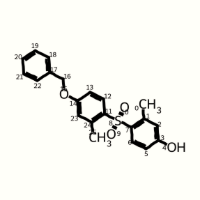 Cc1cc(O)ccc1S(=O)(=O)c1ccc(OCc2ccccc2)cc1C